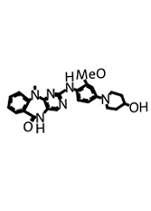 COc1cc(N2CCC(O)CC2)ccc1Nc1ncc2c(n1)N(C)c1ccccc1C(=O)N2